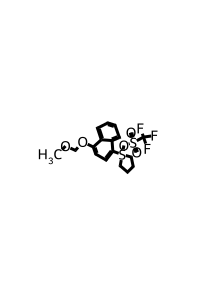 COCOc1ccc(S2(OS(=O)(=O)C(F)(F)F)CCCC2)c2ccccc12